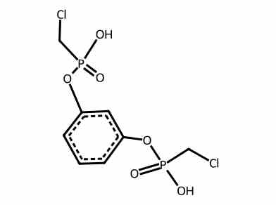 O=P(O)(CCl)Oc1cccc(OP(=O)(O)CCl)c1